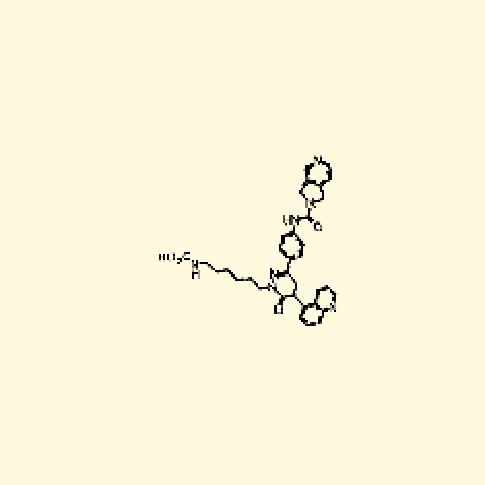 O=C(O)NCCCCCCN1N=C(c2ccc(NC(=O)N3Cc4ccncc4C3)cc2)CC(c2cccc3ncccc23)C1=O